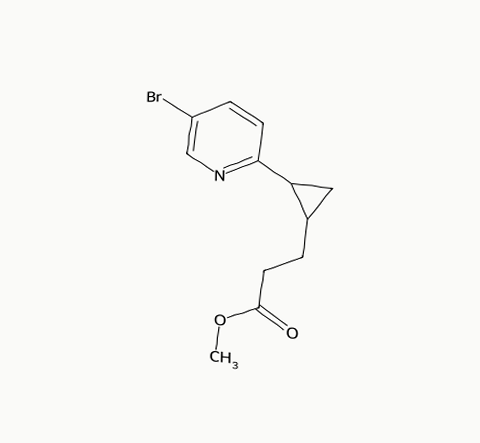 COC(=O)CCC1CC1c1ccc(Br)cn1